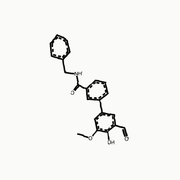 COc1cc(-c2cccc(C(=O)NCc3ccccc3)c2)cc(C=O)c1O